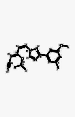 COc1cc(C)cc(-c2ncn(/C=C\C(=N\C#N)OC(C)C)n2)c1